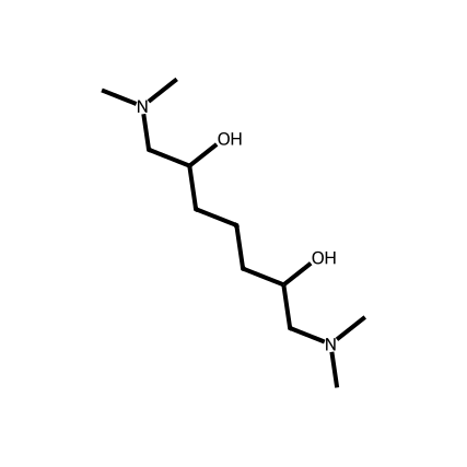 CN(C)CC(O)CCCC(O)CN(C)C